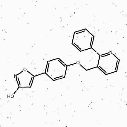 Oc1cc(-c2ccc(OCc3cccnc3-c3ccccc3)cc2)on1